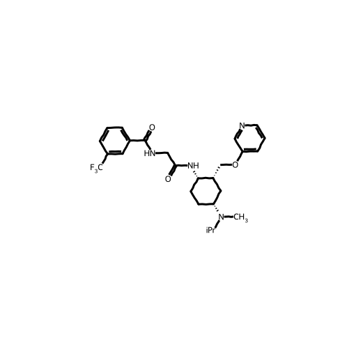 CC(C)N(C)[C@@H]1CC[C@H](NC(=O)CNC(=O)c2cccc(C(F)(F)F)c2)[C@H](COc2cccnc2)C1